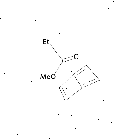 CCC(=O)OC.c1cc2ccc1-2